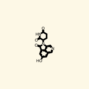 O=C1CCC(N2C(=O)c3cc(O)cc4cncc2c34)C(=O)N1